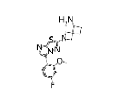 COc1cc(F)ccc1-c1cnc2sc(N3CC4(CCC4N)C3)nn12